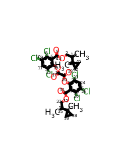 CC(COC(=O)c1c(Cl)c(Cl)cc(Cl)c1OC(=O)C(=O)Oc1c(Cl)cc(Cl)c(Cl)c1C(=O)OCC(C)C1(C)CC1)C1(C)CC1